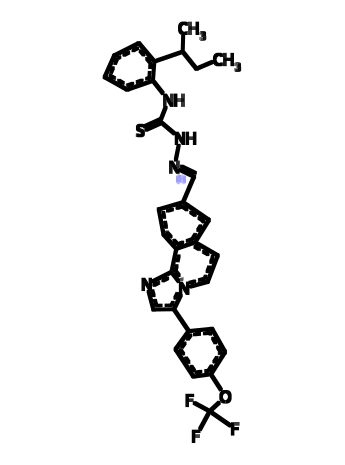 CCC(C)c1ccccc1NC(=S)N/N=C/c1ccc2c(ccn3c(-c4ccc(OC(F)(F)F)cc4)cnc23)c1